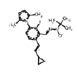 Cc1ccc(C)n1-c1ccc(/C=C/C2CC2)c(C=N[S+]([O-])C(C)(C)C)c1F